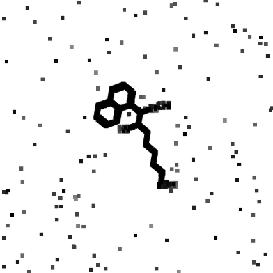 CCCCCCCCCCCCCCCC(S)C(CC)c1cccc2ccccc12.Cl